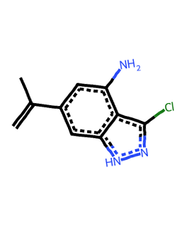 C=C(C)c1cc(N)c2c(Cl)n[nH]c2c1